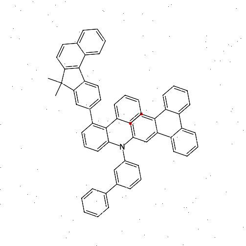 CC1(C)c2cc(-c3cccc(N(c4cccc(-c5ccccc5)c4)c4ccc5c6ccccc6c6ccccc6c5c4)c3-c3ccccc3)ccc2-c2c1ccc1ccccc21